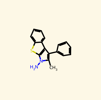 Cc1c(-c2ccccc2)c2c3ccccc3sc2n1N